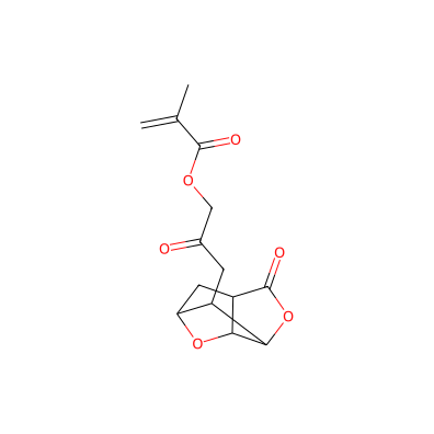 C=C(C)C(=O)OCC(=O)CC1C2CC3C(=O)OC1C3O2